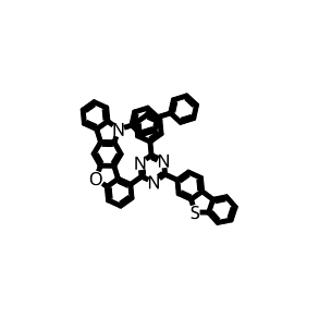 c1ccc(-c2ccc(-n3c4ccccc4c4cc5oc6cccc(-c7nc(-c8ccccc8)nc(-c8ccc9c(c8)sc8ccccc89)n7)c6c5cc43)cc2)cc1